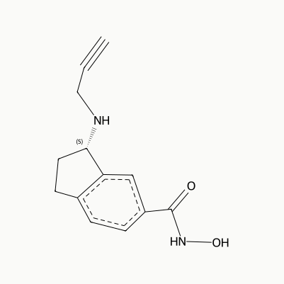 C#CCN[C@H]1CCc2ccc(C(=O)NO)cc21